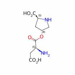 N[C@@H](CC(=O)O)C(=O)O[C@H]1CN[C@H](C(=O)O)C1